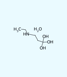 CCNCCC(O)(O)O.O